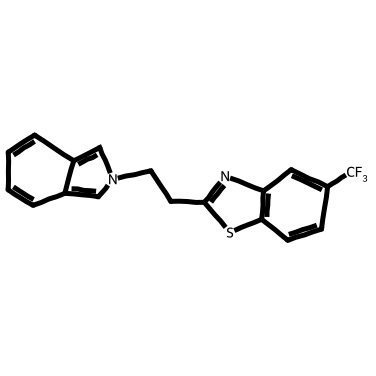 FC(F)(F)c1ccc2sc(CCn3cc4ccccc4c3)nc2c1